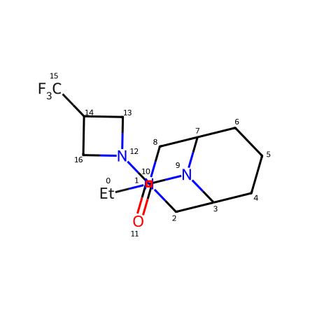 CCN1CC2CCCC(C1)N2C(=O)N1CC(C(F)(F)F)C1